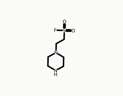 O=S(=O)(F)CCN1CCNCC1